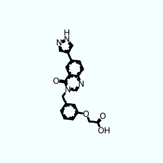 O=C(O)COc1cccc(Cn2cnc3ccc(-c4cn[nH]c4)cc3c2=O)c1